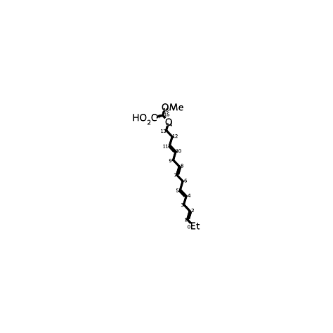 CCC=CCC=CCC=CCC=CCCOC(OC)C(=O)O